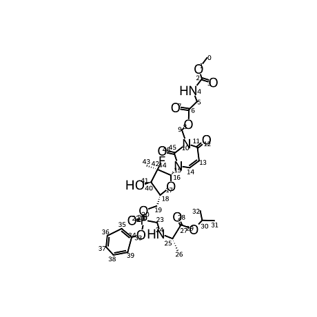 COC(=O)NCC(=O)OCn1c(=O)ccn([C@@H]2O[C@H](COP(=O)(CN[C@@H](C)C(=O)OC(C)C)Oc3ccccc3)[C@@H](O)[C@@]2(C)F)c1=O